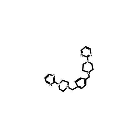 c1cnc(N2CCN(Cc3ccc(CN4CCN(c5ncccn5)CC4)cc3)CC2)nc1